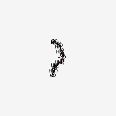 COC(=O)CCNC(=O)c1nc(NC(=O)CCNC(=O)c2cc(NC(=O)c3nc(NC(=O)CCNC(=O)c4cc(NC(=O)c5nccn5C)cn4C)cn3C)cn2C)cn1C